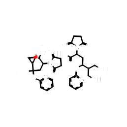 CC(CC(C(=O)O)N1C(=O)CCC1=O)(Sc1ccccn1)C1CC1.CCC(CC)C(CC(C(=O)O)N1C(=O)CCC1=O)Sc1ccccn1